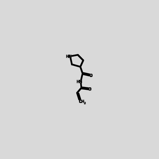 C=CC(=O)NC(=O)C1CCNC1